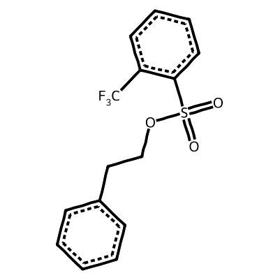 O=S(=O)(OCCc1ccccc1)c1ccccc1C(F)(F)F